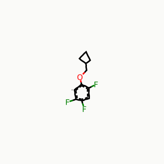 Fc1[c]c(OCC2CCC2)c(F)cc1F